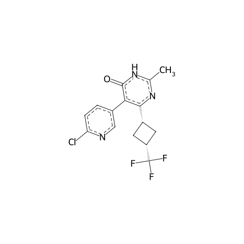 Cc1nc([C@H]2C[C@@H](C(F)(F)F)C2)c(-c2ccc(Cl)nc2)c(=O)[nH]1